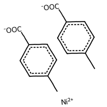 Cc1ccc(C(=O)[O-])cc1.Cc1ccc(C(=O)[O-])cc1.[Ni+2]